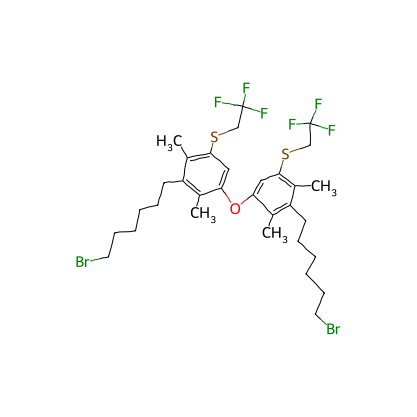 Cc1c(Oc2cc(SCC(F)(F)F)c(C)c(CCCCCCBr)c2C)cc(SCC(F)(F)F)c(C)c1CCCCCCBr